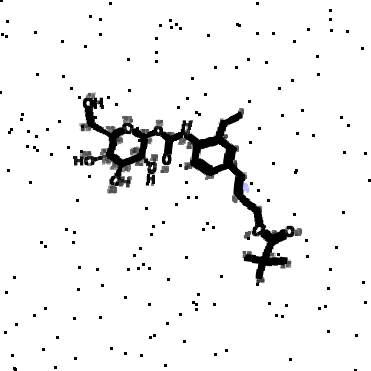 CCc1cc(/C=C/COC(=O)C(C)(C)C)ccc1NC(=O)O[C@@H]1O[C@H](CO)[C@@H](O)[C@H](O)[C@H]1O